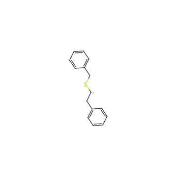 [CH](Cc1ccccc1)SCc1ccccc1